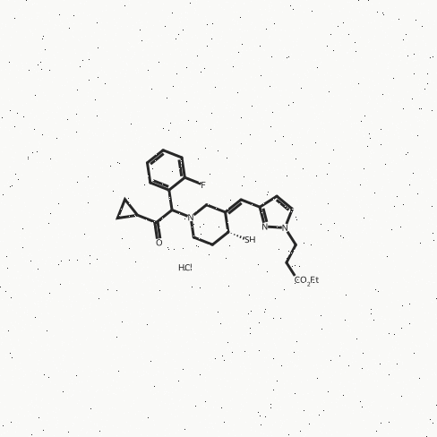 CCOC(=O)CCn1ccc(C=C2CN(C(C(=O)C3CC3)c3ccccc3F)CC[C@H]2S)n1.Cl